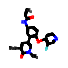 C=CC(=O)Nc1ccc(Oc2ccncc2F)c(-c2cc(NC)c(=O)n(C)c2)c1